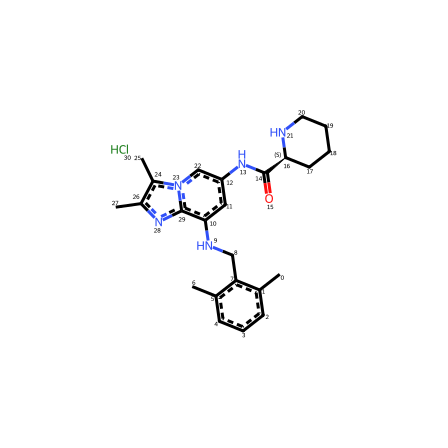 Cc1cccc(C)c1CNc1cc(NC(=O)[C@@H]2CCCCN2)cn2c(C)c(C)nc12.Cl